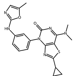 Cc1cnc(Nc2cccc(-n3c(=O)nc(N(C)C)c4sc(C5CC5)nc43)c2)o1